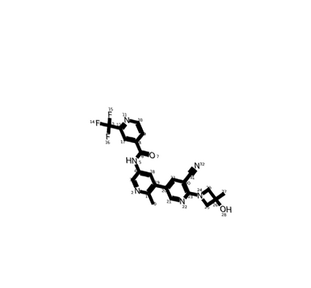 Cc1ncc(NC(=O)c2ccnc(C(F)(F)F)c2)cc1-c1cnc(N2CC(C)(O)C2)c(C#N)c1